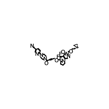 C[Si](C)(C)CCOCn1ncc(N2CCC[C@H]2COCC#CC(=O)N2CCN(c3ccc(C#N)cn3)CC2)c(C(F)(F)F)c1=O